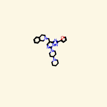 c1coc(-c2nc3c(CN4CCc5ccccc5C4)cnc(N4CCC(N5CCCCC5)CC4)n3n2)c1